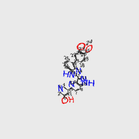 Oc1cncc(-c2ccc3[nH]nc(-c4nc5c(-c6ccc7c(c6)OCO7)cccc5[nH]4)c3n2)c1